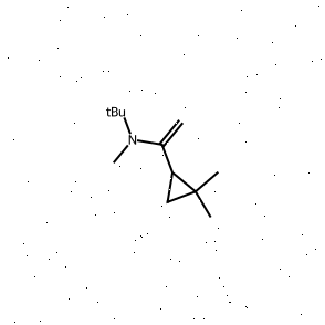 C=C(C1CC1(C)C)N(C)C(C)(C)C